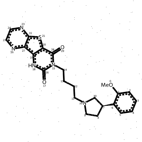 COc1ccccc1[C@H]1CCN(CCCCn2c(=O)[nH]c3c(sc4nccnc43)c2=O)C1